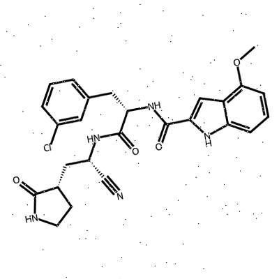 COc1cccc2[nH]c(C(=O)N[C@@H](Cc3cccc(Cl)c3)C(=O)N[C@H](C#N)C[C@@H]3CCNC3=O)cc12